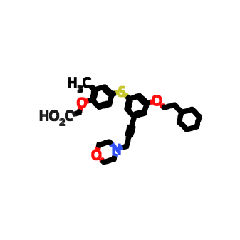 Cc1cc(Sc2cc(C#CCN3CCOCC3)cc(OCCC3CCCCC3)c2)ccc1OCC(=O)O